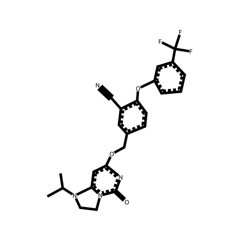 CC(C)N1CCn2c1cc(OCc1ccc(Oc3cccc(C(F)(F)F)c3)c(C#N)c1)nc2=O